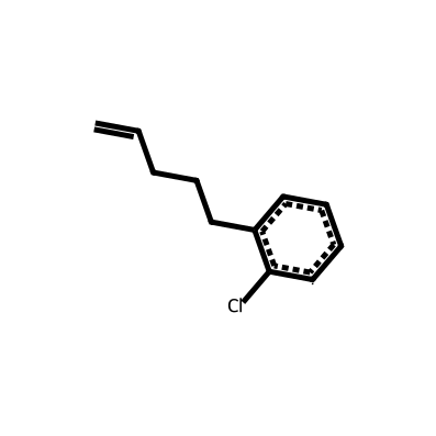 C=CCCCc1ccc[c]c1Cl